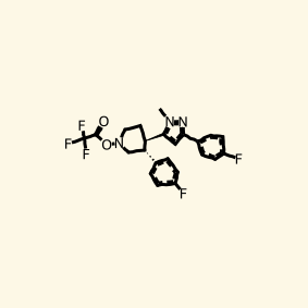 Cn1nc(-c2ccc(F)cc2)cc1[C@@H]1CCN(OC(=O)C(F)(F)F)C[C@H]1c1ccc(F)cc1